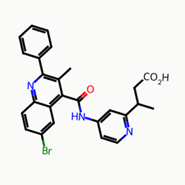 Cc1c(-c2ccccc2)nc2ccc(Br)cc2c1C(=O)Nc1ccnc(C(C)CC(=O)O)c1